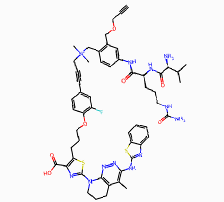 C#CCOCc1cc(NC(=O)[C@H](CCCNC(N)=O)NC(=O)[C@@H](N)C(C)C)ccc1C[N+](C)(C)CC#Cc1ccc(OCCCc2sc(N3CCCc4c3nnc(Nc3nc5ccccc5s3)c4C)nc2C(=O)O)c(F)c1